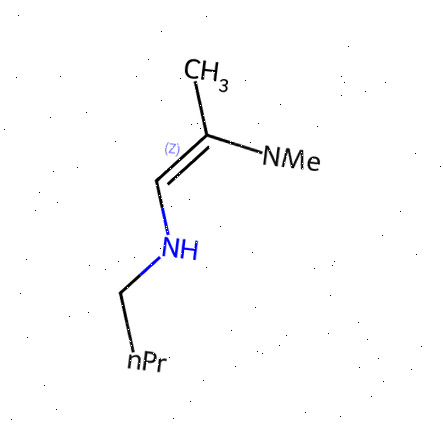 CCCCN/C=C(/C)NC